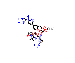 C[n+]1cc(-c2ccc3c(c2)CC[C@H]([C@](C)(O/N=C(\C(=O)N[C@@H]2C(=O)N(OS(=O)(=O)O)C2(C)C)c2csc(N)n2)C(=O)OC=O)O3)ccc1NC(CN)CN